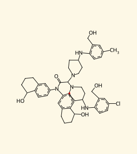 Cc1ccc(NC2CCN(C(C(=O)N(c3ccc4c(c3)CCCC4O)c3ccc4c(c3)CCCC4O)N3CCC(Nc4ccc(Cl)cc4CO)CC3)CC2)c(CO)c1